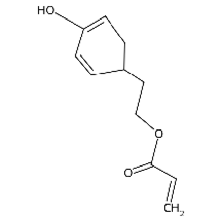 C=CC(=O)OCCC1C=CC(O)=CC1